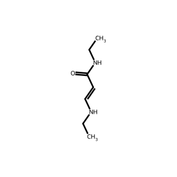 CCN/C=C/C(=O)NCC